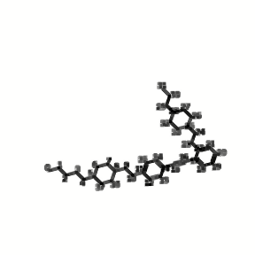 CCCCCC1CCC(CCc2ccc(C#Cc3ccccc3CCC3CCC(CCC)CC3)cc2)CC1